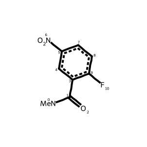 CNC(=O)c1cc([N+](=O)[O-])ccc1F